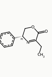 CCC1=N[C@H](c2ccccc2)COC1=O